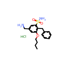 CCCCOc1cc(CN)cc(S(N)(=O)=O)c1Cc1ccccc1.Cl